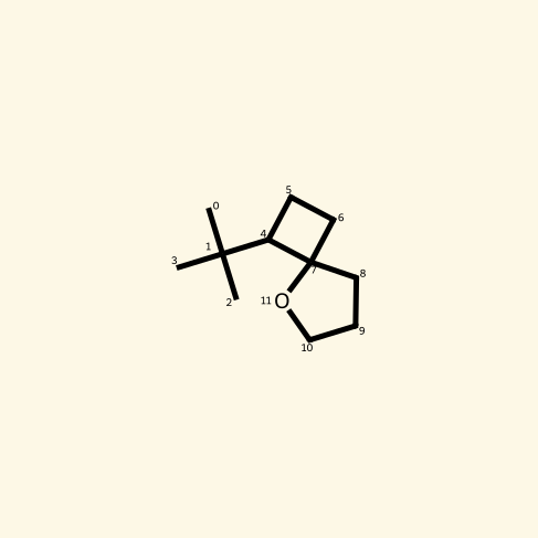 CC(C)(C)C1CCC12CCCO2